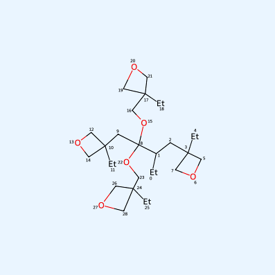 CCC(CC1(CC)COC1)C(CC1(CC)COC1)(OCC1(CC)COC1)OCC1(CC)COC1